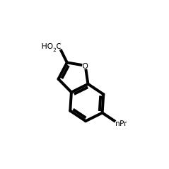 CCCc1ccc2cc(C(=O)O)oc2c1